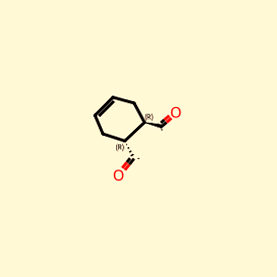 O=[C][C@@H]1CC=CC[C@H]1[C]=O